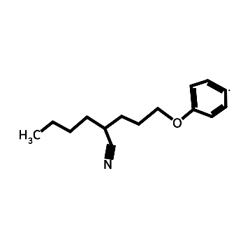 CCCCC(C#N)CCCOc1cc[c]cc1